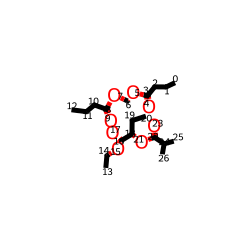 CCCC(=O)OCOC(=O)CCC.CCOC(=O)C(CC)OC(=O)C(C)C